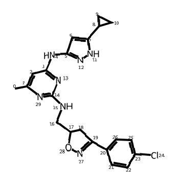 Cc1cc(Nc2cc(C3CC3)[nH]n2)nc(NCC2CC(c3ccc(Cl)cc3)=NO2)n1